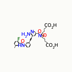 Cc1ccc(F)c(C(=O)Nc2cccc(C#Cc3cc(C(=O)N=S(=O)(CCCCC(=O)O)CCCCC(=O)O)cnc3N)c2)c1